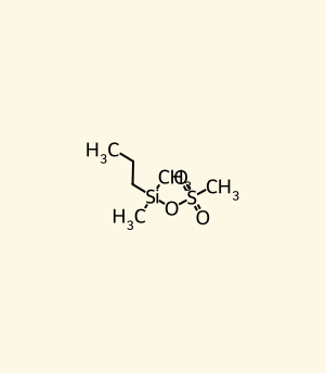 CCC[Si](C)(C)OS(C)(=O)=O